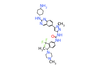 CC(c1ccc(NC(=O)Nc2cc(-c3ccc4nc(N[C@H]5CC[C@H](N)CC5)ncc4c3)n(C)n2)cc1C(F)(F)F)N1CCN(C)CC1